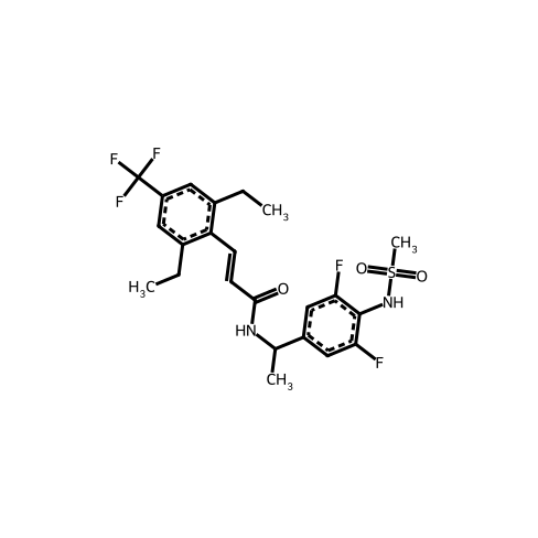 CCc1cc(C(F)(F)F)cc(CC)c1C=CC(=O)NC(C)c1cc(F)c(NS(C)(=O)=O)c(F)c1